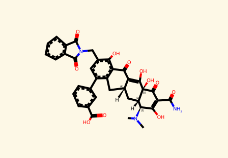 CN(C)[C@@H]1C(O)=C(C(N)=O)C(=O)[C@@]2(O)C(O)=C3C(=O)c4c(O)c(CN5C(=O)c6ccccc6C5=O)cc(-c5cccc(C(=O)O)c5)c4C[C@H]3C[C@@H]12